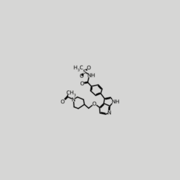 CC(=O)N1CCC(COc2ccnc3[nH]cc(-c4ccc(C(=O)NS(C)(=O)=O)cc4)c23)CC1